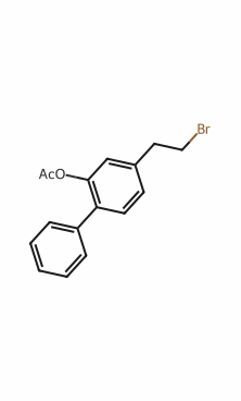 CC(=O)Oc1cc(CCBr)ccc1-c1ccccc1